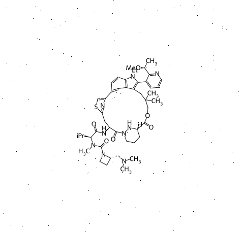 CCn1c(-c2cccnc2[C@H](C)OC)c2c3cc(ccc31)-c1csc(n1)C[C@H](NC(=O)[C@H](C(C)C)N(C)C(=O)N1CC[C@H]1CN(C)C)C(=O)N1CCC[C@H](N1)C(=O)OCC(C)(C)C2